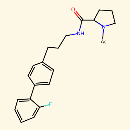 CC(=O)N1CCCC1C(=O)NCCCc1ccc(-c2ccccc2F)cc1